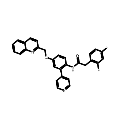 O=C(Cc1ccc(F)cc1F)Nc1ccc(OCc2ccc3ccccc3n2)cc1-c1ccncc1